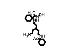 CC(=O)C1(NCCC(CCN)CCNC2(/C(C)=N/O)CCCCC2)CCCCC1